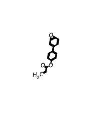 C=CC(=O)Oc1ccc(-c2ccc3c(c2)O3)cc1